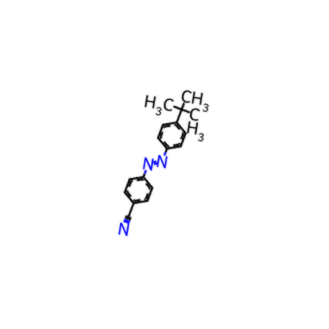 CC(C)(C)c1ccc(N=Nc2ccc(C#N)cc2)cc1